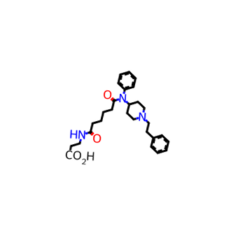 O=C(O)CCNC(=O)CCCCC(=O)N(c1ccccc1)C1CCN(CCc2ccccc2)CC1